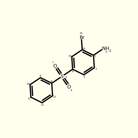 Nc1ccc(S(=O)(=O)c2ccccc2)cc1Br